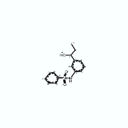 O=S(=O)(Nc1cccc(C(O)CI)c1)c1ccccc1